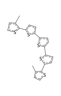 Cc1ccsc1-c1ccc(-c2ccc(-c3ccc(-c4sccc4C)s3)s2)s1